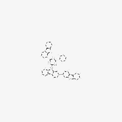 c1ccc(-c2nc(-c3cccc4c3sc3ccccc34)nc(-n3c4ccccc4c4ccc(-c5ccc6c(c5)oc5ccccc56)cc43)n2)cc1